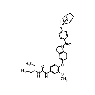 CCC(CC)NC(=O)Nc1ccc(Oc2ccc3c(c2)CCN3C(=O)c2ccc(OC3CC4CCC(C3)N4C)cc2)c(OC)c1